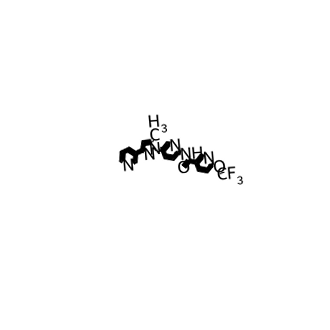 Cc1cc(-c2cccnc2)nn1-c1ccc(NC(=O)c2ccc(OC(F)(F)F)nc2)nc1